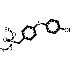 CCOP(=O)(Cc1ccc(Sc2ccc(O)cc2)cc1)OCC